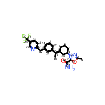 CC1=NN(C2CCC/C(=C(/C)c3cccc(Cc4ccc(C(F)(F)F)cn4)c3)C2)C(C(N)=O)O1